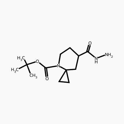 CC(C)(C)OC(=O)N1CCC(C(=O)NN)CC12CC2